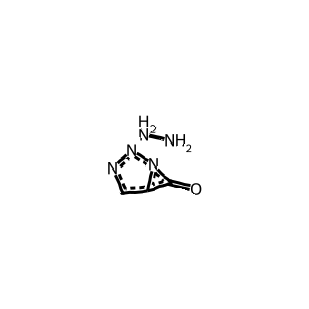 NN.O=c1c2cnnn12